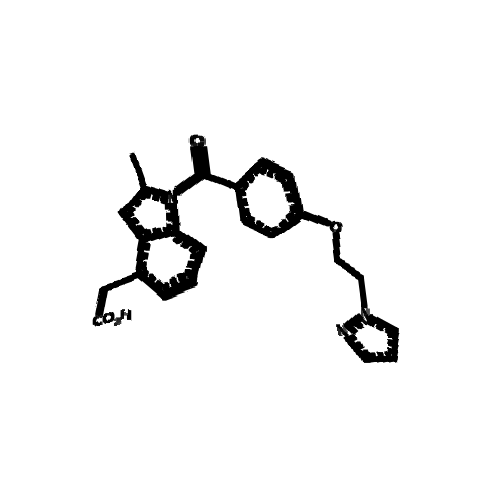 Cc1cc2c(CC(=O)O)cccc2n1C(=O)c1ccc(OCCn2cccn2)cc1